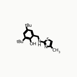 Cc1csc(NCc2cc(C(C)(C)C)cc(C(C)(C)C)c2O)n1